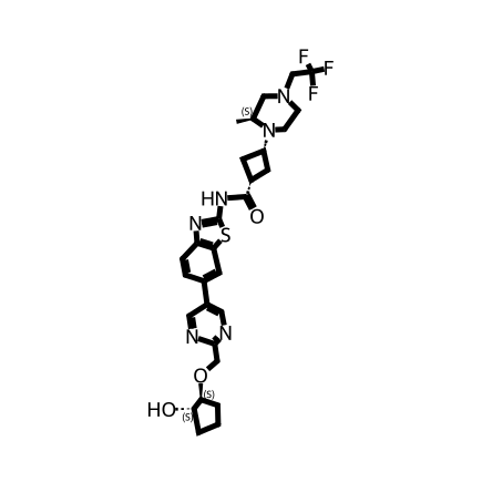 C[C@H]1CN(CC(F)(F)F)CCN1[C@H]1C[C@@H](C(=O)Nc2nc3ccc(-c4cnc(CO[C@H]5CCC[C@@H]5O)nc4)cc3s2)C1